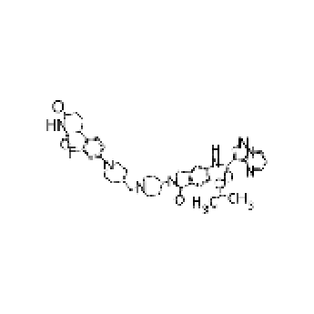 CC(C)Oc1cc2c(cc1NC(=O)c1cnn3cccnc13)CN(C1CCN(CC3CCN(c4ccc(C5CCC(=O)NC5=O)c(F)c4)CC3)CC1)C2=O